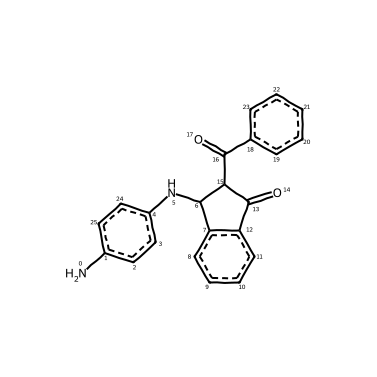 Nc1ccc(NC2c3ccccc3C(=O)C2C(=O)c2ccccc2)cc1